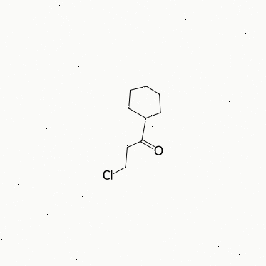 O=C(CCCl)C1CCCCC1